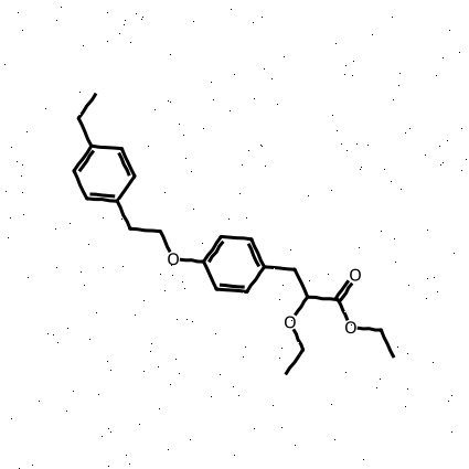 CCOC(=O)C(Cc1ccc(OCCc2ccc(CC)cc2)cc1)OCC